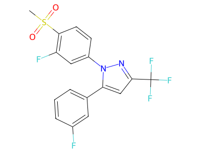 CS(=O)(=O)c1ccc(-n2nc(C(F)(F)F)cc2-c2cccc(F)c2)cc1F